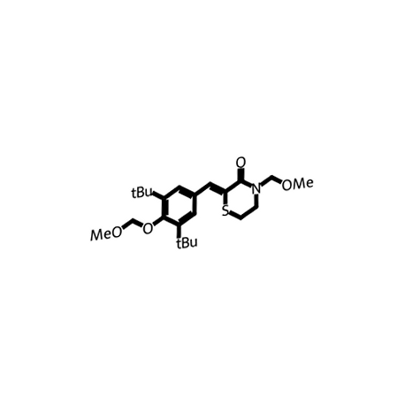 COCOc1c(C(C)(C)C)cc(C=C2SCCN(COC)C2=O)cc1C(C)(C)C